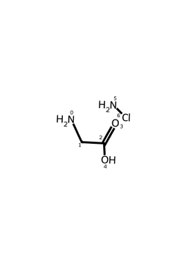 NCC(=O)O.NCl